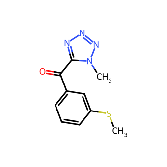 CSc1cccc(C(=O)c2nnnn2C)c1